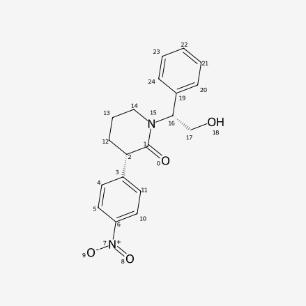 O=C1[C@H](c2ccc([N+](=O)[O-])cc2)CCCN1[C@@H](CO)c1ccccc1